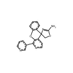 NC1=NC2(CO1)c1ccccc1Oc1c2ccnc1-c1cccnc1